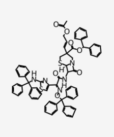 CC(=O)OCC=CC1(C(=O)OC(c2ccccc2)c2ccccc2)CS[C@@H]2C(NC(=O)C(=NOC(c3ccccc3)(c3ccccc3)c3ccccc3)c3csc(NC(c4ccccc4)(c4ccccc4)c4ccccc4)n3)C(=O)N2C1